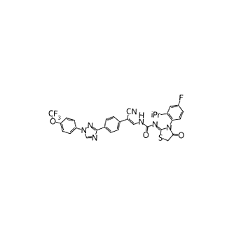 CC(C)c1cc(F)ccc1N1C(=O)CS/C1=N\C(=O)N/C=C(\C#N)c1ccc(-c2ncn(-c3ccc(OC(F)(F)F)cc3)n2)cc1